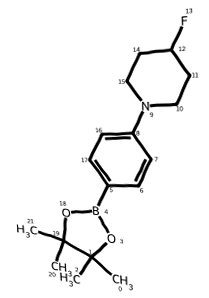 CC1(C)OB(c2ccc(N3CCC(F)CC3)cc2)OC1(C)C